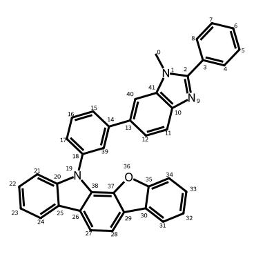 Cn1c(-c2ccccc2)nc2ccc(-c3cccc(-n4c5ccccc5c5ccc6c7ccccc7oc6c54)c3)cc21